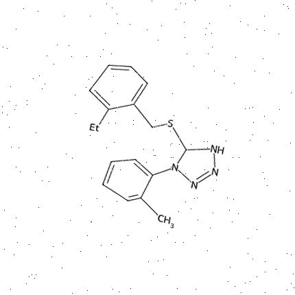 CCc1ccccc1CSC1NN=NN1c1ccccc1C